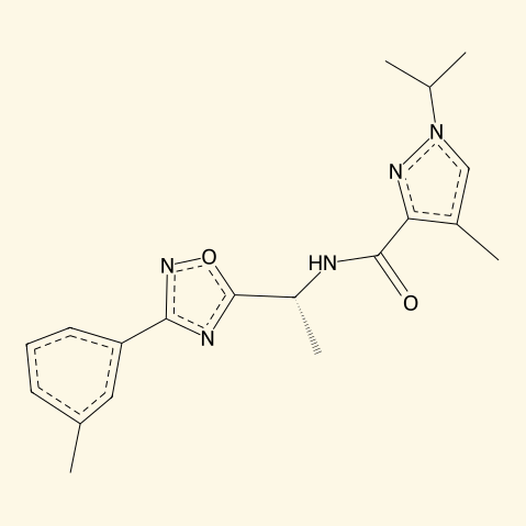 Cc1cccc(-c2noc([C@@H](C)NC(=O)c3nn(C(C)C)cc3C)n2)c1